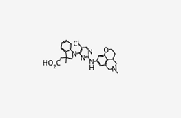 CN1Cc2cc(Nc3ncc(Cl)c(N4CC(C)(CC(=O)O)c5ccccc54)n3)cc3c2C(CCO3)C1